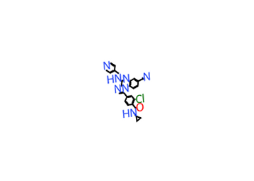 N#Cc1ccc2c(c1)nc(NCc1ccncc1)c1ncc(-c3ccc(C(=O)NC4CC4)c(Cl)c3)n12